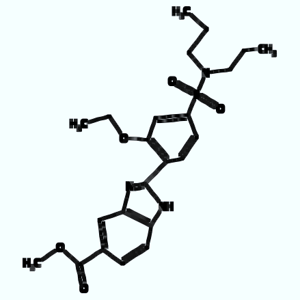 CCCN(CCC)S(=O)(=O)c1ccc(-c2nc3cc(C(=O)OC)ccc3[nH]2)c(OCC)c1